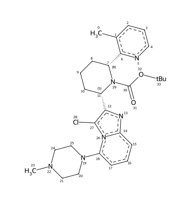 Cc1cccnc1[C@H]1CCC[C@@H](c2nc3cccc(N4CCN(C)CC4)n3c2Cl)N1C(=O)OC(C)(C)C